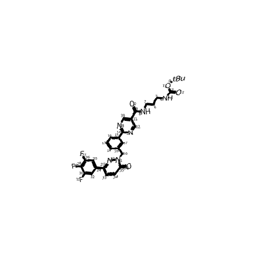 CC(C)(C)OC(=O)NCCCNC(=O)c1cnc(-c2cccc(Cn3nc(-c4cc(F)c(F)c(F)c4)ccc3=O)c2)nc1